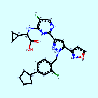 O=C(O)[C@H](Nc1nc(-c2cc(-c3ccon3)n(Cc3ccc(C4CCCC4)cc3F)n2)ncc1F)C1CC1